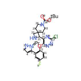 CC(C)n1nccc1-c1cc(F)ccc1Oc1nnc(Cl)nc1C1NCC12CCN(C(=O)OC(C)(C)C)CC2